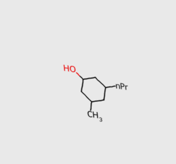 CCCC1CC(C)CC(O)C1